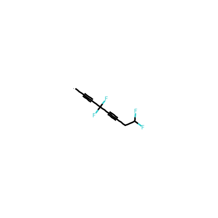 [CH2]C#CC(F)(F)C#CCC(F)F